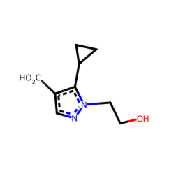 O=C(O)c1cnn(CCO)c1C1CC1